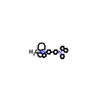 C=C1/C=C\CCC/C=C\C(Nc2ccc(-c3ccc(N(c4ccccc4)c4cccc5ccccc45)cc3)cc2)=C/1C1c2ccccc2C=CC1C